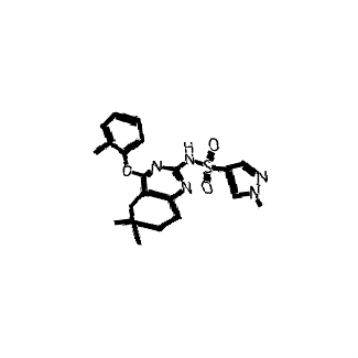 Cc1ccccc1Oc1nc(NS(=O)(=O)c2cnn(C)c2)nc2c1CC(C)(C)CC2